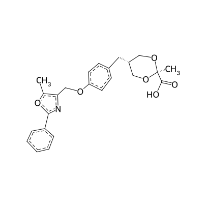 Cc1oc(-c2ccccc2)nc1COc1ccc(C[C@H]2CO[C@](C)(C(=O)O)OC2)cc1